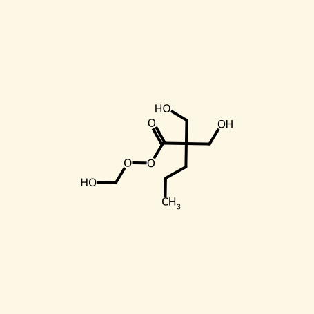 CCCC(CO)(CO)C(=O)OOCO